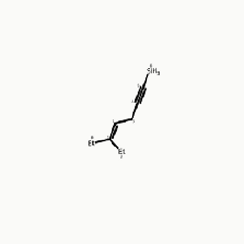 CCC(=CCC#C[SiH3])CC